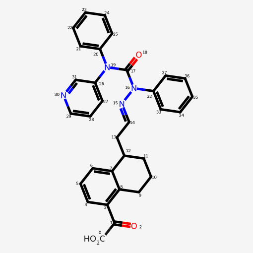 O=C(O)C(=O)c1cccc2c1CCCC2CC=NN(C(=O)N(c1ccccc1)c1cccnc1)c1ccccc1